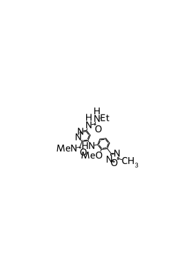 CCNC(=O)Nc1cc(Nc2cccc(-c3noc(C)n3)c2OC)c(C(=O)NC)nn1